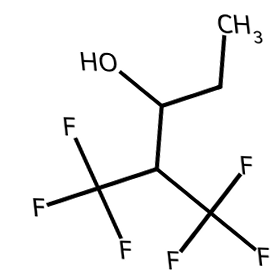 CCC(O)C(C(F)(F)F)C(F)(F)F